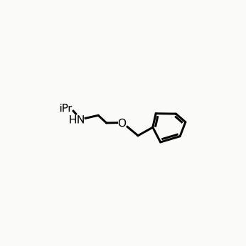 CC(C)NCCOCc1ccccc1